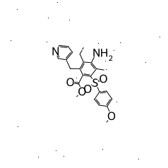 CCc1c(N)c(C)c(S(=O)(=O)c2ccc(OC)cc2)c(C(=O)OC)c1Cc1cccnc1